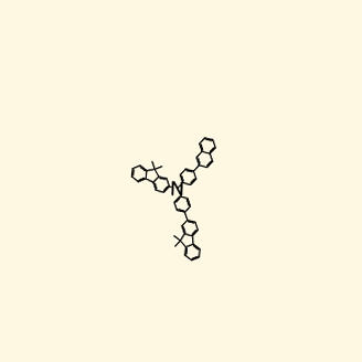 CC1(C)c2ccccc2-c2ccc(-c3ccc(N(c4ccc(-c5ccc6ccccc6c5)cc4)c4ccc5c(c4)C(C)(C)c4ccccc4-5)cc3)cc21